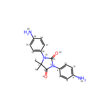 CC1(C)C(=O)N(c2ccc(N)cc2)C(=O)N1c1ccc(N)cc1